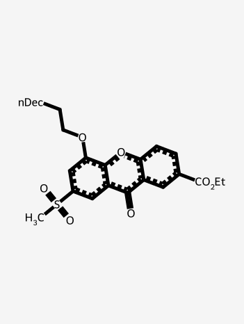 CCCCCCCCCCCCOc1cc(S(C)(=O)=O)cc2c(=O)c3cc(C(=O)OCC)ccc3oc12